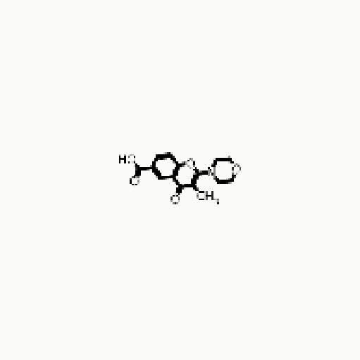 Cc1c(N2CCOCC2)oc2ccc(C(=O)O)cc2c1=O